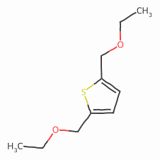 CCOCc1ccc(COCC)s1